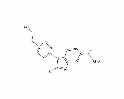 CCc1nc2cc(C(C)C=O)ccc2n1-c1ccc(CCO)cc1